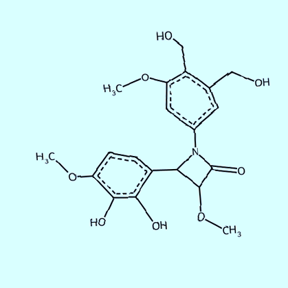 COc1ccc(C2C(OC)C(=O)N2c2cc(CO)c(CO)c(OC)c2)c(O)c1O